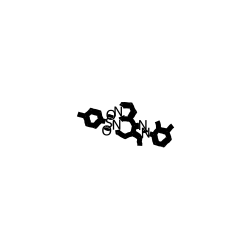 Cc1ccc(S(=O)(=O)N2CCc3c(nn(-c4cccc(C)c4C)c3C)-c3cccnc32)cc1